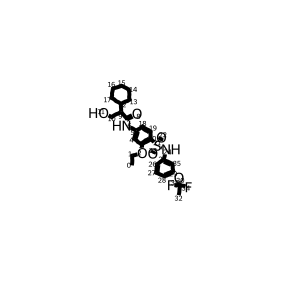 CCOc1cc(NC(=O)C(CO)C2CCCCC2)ccc1S(=O)(=O)Nc1cccc(OC(C)(F)F)c1